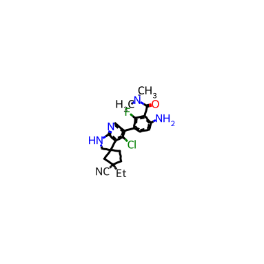 CCC1(C#N)CCC2(CNc3ncc(-c4ccc(N)c(C(=O)N(C)C)c4F)c(Cl)c32)C1